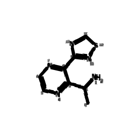 CC(N)c1nccnc1-c1ncsn1